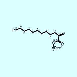 C=C(CCCCCCCCCC(C)C)C(=O)OCCCCCCCCCC